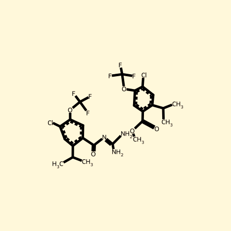 CC(C)c1cc(Cl)c(OC(F)(F)F)cc1C(=O)N=C(N)N.COC(=O)c1cc(OC(F)(F)F)c(Cl)cc1C(C)C